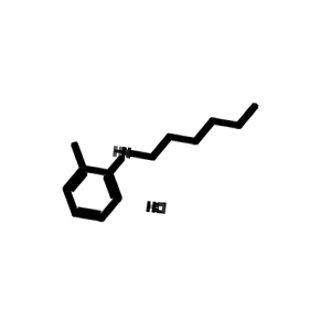 CCCCCCNc1ccccc1C.Cl